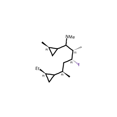 CC[C@@H]1CC1[C@H](C)C[C@@H](I)[C@@H](C)C(NC)C1C[C@H]1C